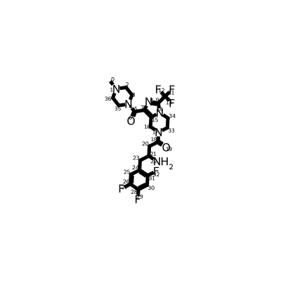 CN1CCN(C(=O)c2nc(C(F)(F)F)n3c2CN(C(=O)CC(N)Cc2cc(F)c(F)cc2F)CC3)CC1